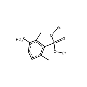 CCOP(=O)(OCC)c1c(C)ccc(S(=O)(=O)O)c1C